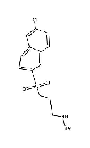 CC(C)NCCCS(=O)(=O)c1ccc2cc(Cl)ccc2c1